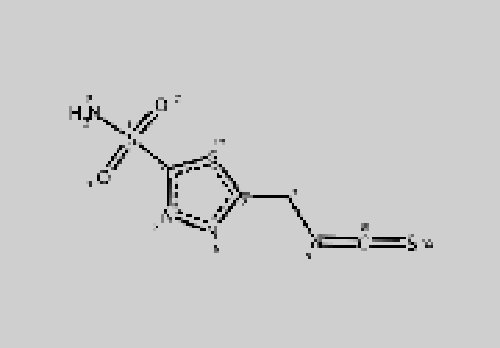 NS(=O)(=O)c1nnc(CN=C=S)s1